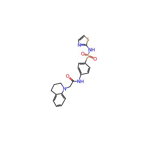 O=C(CN1CCCc2ccccc21)Nc1ccc(S(=O)(=O)Nc2nccs2)cc1